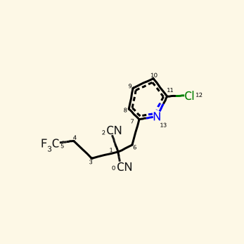 N#CC(C#N)(CCC(F)(F)F)Cc1cccc(Cl)n1